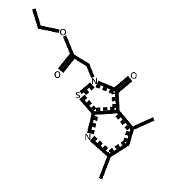 CCOC(=O)Cn1sc2nc(C)cc(C)c2c1=O